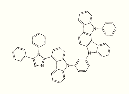 c1ccc(-c2nnc(-c3cccc4c3c3ccccc3n4-c3cccc(-n4c5ccccc5c5c4ccc4c6ccccc6n(-c6ccccc6)c45)c3)n2-c2ccccc2)cc1